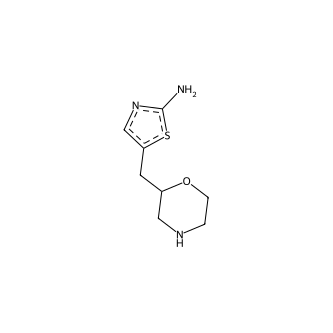 Nc1ncc(CC2CNCCO2)s1